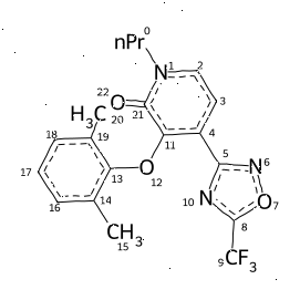 CCCn1ccc(-c2noc(C(F)(F)F)n2)c(Oc2c(C)cccc2C)c1=O